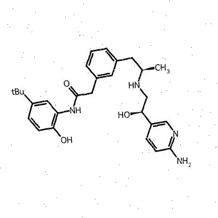 C[C@H](Cc1cccc(CC(=O)Nc2cc(C(C)(C)C)ccc2O)c1)NC[C@H](O)c1ccc(N)nc1